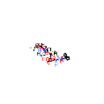 CC(=O)OC(C)C=CC(=O)N[C@@H]1C[C@H](C)[C@H](CC=C(C)C=C[C@H]2O[C@H](CC(=O)NCCNC(=O)OCC3c4ccccc4-c4ccccc43)C[C@@]3(CO3)[C@@H]2O)O[C@@H]1C